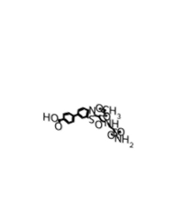 CS(=O)(=O)C(C(=O)NCCS(N)(=O)=O)c1nc2ccc(-c3ccc(C(=O)O)cc3)cc2s1